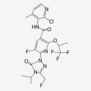 Cc1ccnc(Cl)c1NC(=O)c1cc(F)c(-n2nc(CF)n(C(C)C)c2=O)nc1OC(C)C(F)(F)F